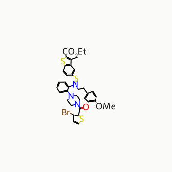 CCOC(=O)c1sc2ccc(SN(CCc3ccc(OC)cc3)c3ccccc3N3CCN(C(=O)c4sccc4Br)CC3)cc2c1C